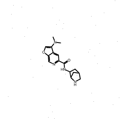 CN(C)c1coc2cnc(C(=O)NC3CC4CNC3C4)cc12